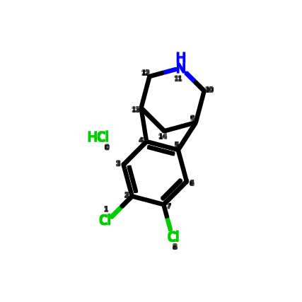 Cl.Clc1cc2c(cc1Cl)C1CNCC2C1